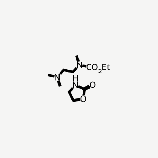 CCOC(=O)N(C)CCN(C)C.O=C1NCCO1